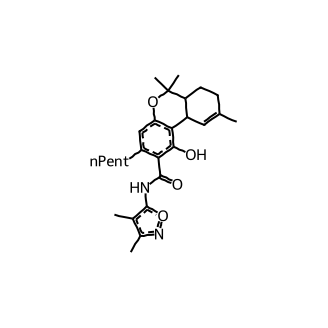 CCCCCc1cc2c(c(O)c1C(=O)Nc1onc(C)c1C)C1C=C(C)CCC1C(C)(C)O2